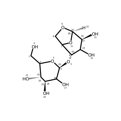 OCC1O[C@@H](O[C@@H]2C3CO[C@H](O3)[C@@H](O)C2O)C(O)[C@@H](O)[C@@H]1O